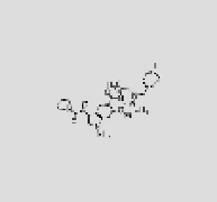 CCOc1cc2c(cc1C(=O)N1C[C@H](C)N(Cc3ccc(F)cc3)C[C@H]1C)C(C(=O)C(=O)N1CCCC1)CN2N